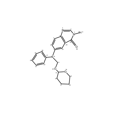 [2H]n1cnc2ccc(N(COC3CCCCO3)c3ccccc3)cc2c1=O